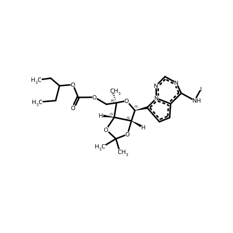 CCC(CC)OC(=O)OC[C@@]1(C)O[C@@H](c2ccc3c(NI)ncnn23)[C@@H]2OC(C)(C)O[C@@H]21